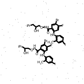 Cc1cc(I)ccc1Nc1cc(F)c(Br)cc1C(=O)NOCC(O)C(C)C.Cc1cc(I)ccc1Nc1cc(F)c(Br)cc1C(=O)NOCC(O)CC(C)C